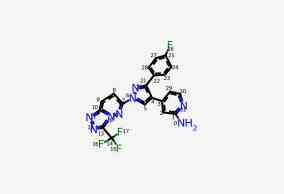 Nc1cc(-c2cn(-c3ccc4nnc(C(F)(F)F)n4n3)nc2-c2ccc(F)cc2)ccn1